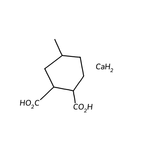 CC1CCC(C(=O)O)C(C(=O)O)C1.[CaH2]